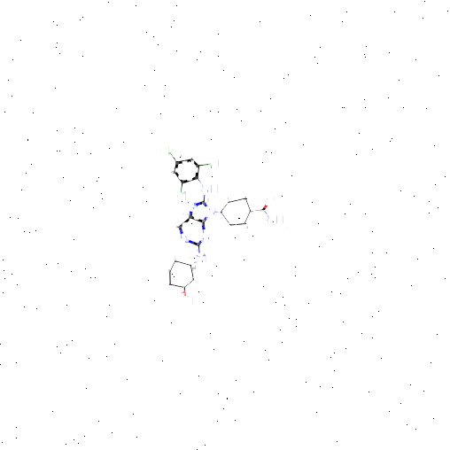 NC(=O)[C@H]1CC[C@@H](n2c(Nc3c(Cl)cc(Cl)cc3Cl)nc3cnc(N[C@@H]4CCCC(O)C4)nc32)CC1